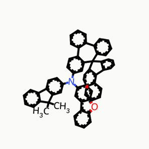 CC1(C)c2ccccc2-c2ccc(N(c3ccc4c(c3)C3(c5ccccc5-c5ccccc5-4)c4ccccc4-c4c3ccc3ccccc43)c3ccc4oc5ccccc5c4c3)cc21